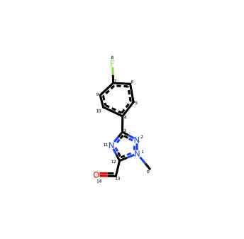 Cn1nc(-c2ccc(F)cc2)nc1C=O